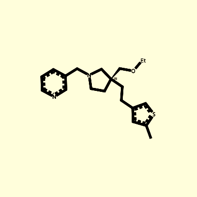 CCOC[C@@]1(CCc2csc(C)c2)CCN(Cc2cccnc2)C1